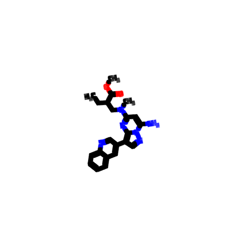 CCC(CN(C)c1cc(N)n2ncc(-c3cnc4ccccc4c3)c2n1)C(=O)OC